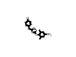 Cc1cc(N)cc(C)c1Oc1nc(Cc2ccc(Cl)cc2)ns1